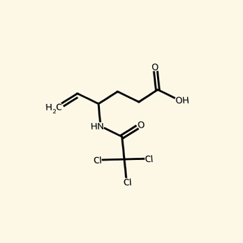 C=CC(CCC(=O)O)NC(=O)C(Cl)(Cl)Cl